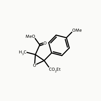 CCOC(=O)C1(c2ccc(OC)cc2)OC1(C)C(=O)OC